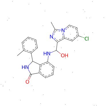 Cc1ccccc1C1NC(=O)c2cccc(NC(O)c3nc(C)n4ccc(Cl)cc34)c21